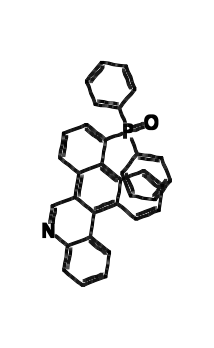 O=P(c1ccccc1)(c1ccccc1)c1cccc2c3cnc4ccccc4c3c3ccccc3c12